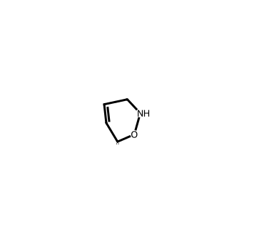 [C]1C=CCNO1